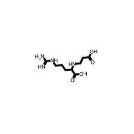 N=C(N)NCCCC(NCCC(=O)O)C(=O)O